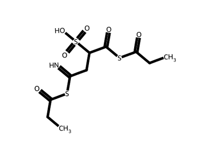 CCC(=O)SC(=N)CC(C(=O)SC(=O)CC)S(=O)(=O)O